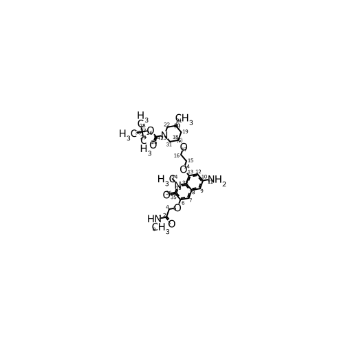 CNC(=O)COc1cc2cc(N)cc(OCCO[C@H]3C[C@@H](C)CN(C(=O)OC(C)(C)C)C3)c2n(C)c1=O